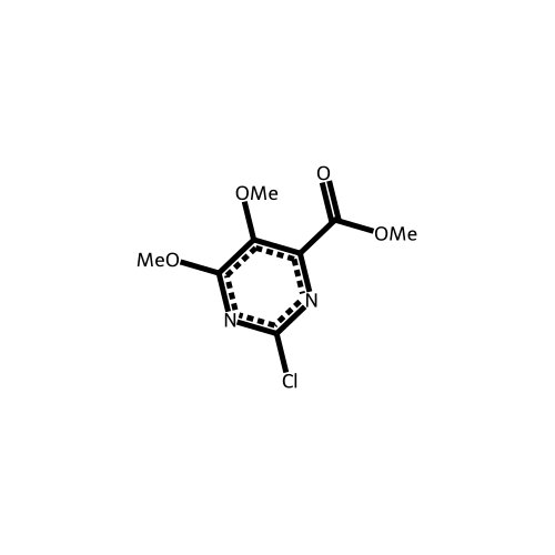 COC(=O)c1nc(Cl)nc(OC)c1OC